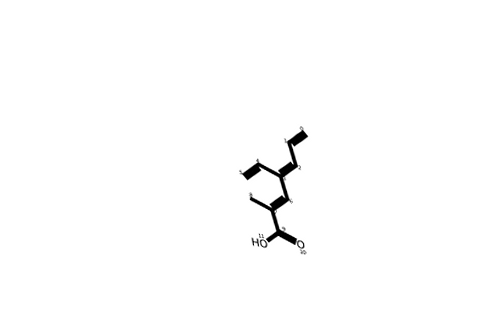 C=C/C=C(C=C)/C=C(\C)C(=O)O